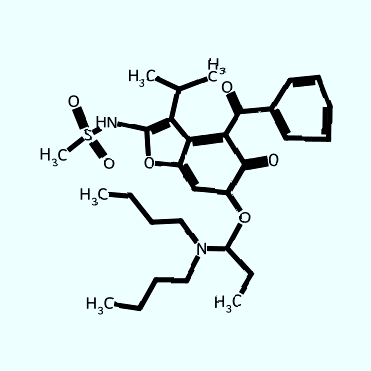 CCCCN(CCCC)C(CC)OC1C=c2oc(NS(C)(=O)=O)c(C(C)C)c2=C(C(=O)c2ccccc2)C1=O